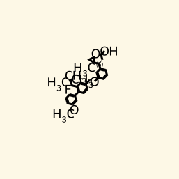 COc1ccc(F)c(-c2ccc(COc3cccc([C@@H](CC(=O)O)C4(C)CC4)c3)cc2CC(C)(C)C)c1